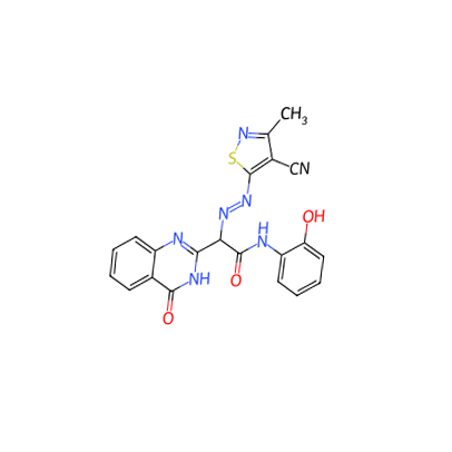 Cc1nsc(N=NC(C(=O)Nc2ccccc2O)c2nc3ccccc3c(=O)[nH]2)c1C#N